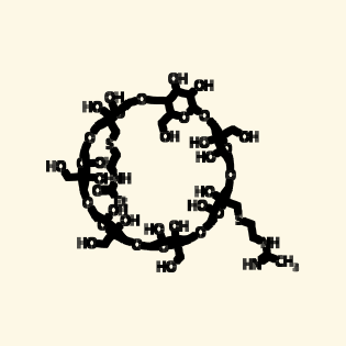 CCC(=O)NCCSCC1OC2OC3C(CO)OC(OC4C(CO)OC(OC5C(CSCCNC(C)=N)OC(OC6C(CO)OC(OC7C(CO)OC(OC8C(CO)OC(OC1C(O)C2O)C(O)C8O)C(O)C7O)C(O)C6O)C(O)C5O)C(O)C4O)C(O)C3O